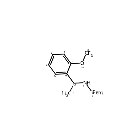 CCCC(C)N[C@H](C)c1ccccc1OC(F)(F)F